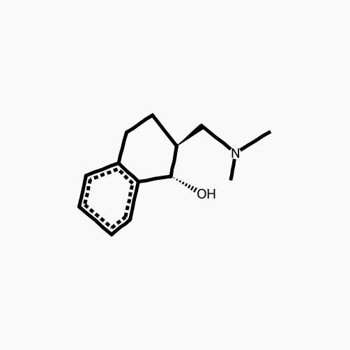 CN(C)C[C@@H]1CCc2ccccc2[C@H]1O